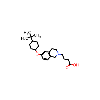 CC(C)(C)C1CCC(Oc2ccc3c(c2)CCN(CCCC(=O)O)C3)CC1